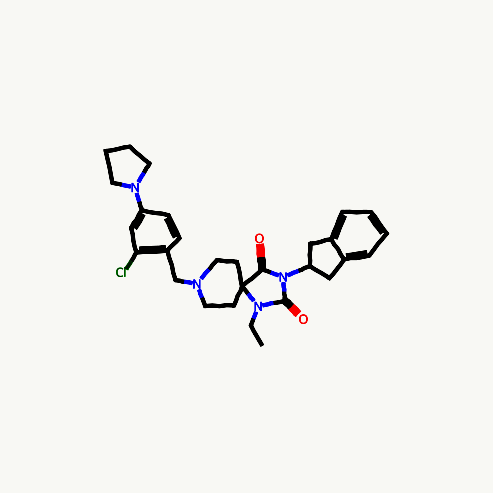 CCN1C(=O)N(C2Cc3ccccc3C2)C(=O)C12CCN(Cc1ccc(N3CCCC3)cc1Cl)CC2